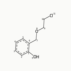 Oc1ccccc1COCCCl